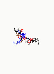 C=CC1=CN2C(=O)C(NC(=O)C(=NOC/C=C/C(=O)OC(C)(C)C)c3csc(N)n3)[C@@H]2SC1